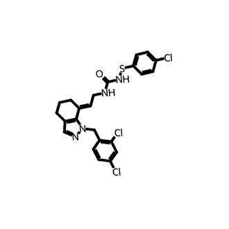 O=C(NC/C=C1\CCCc2cnn(Cc3ccc(Cl)cc3Cl)c21)NSc1ccc(Cl)cc1